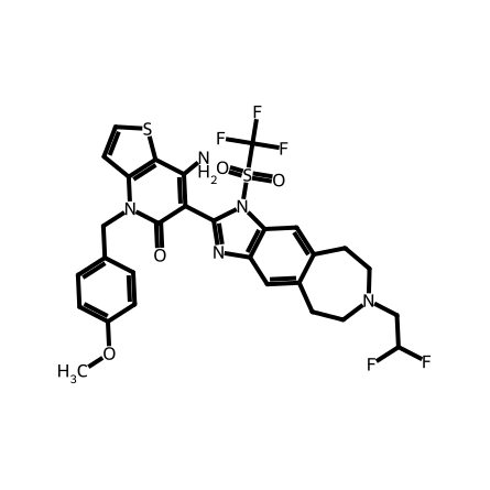 COc1ccc(Cn2c(=O)c(-c3nc4cc5c(cc4n3S(=O)(=O)C(F)(F)F)CCN(CC(F)F)CC5)c(N)c3sccc32)cc1